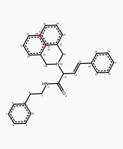 O=C(NCCc1ccccc1)C(/C=C/c1ccccc1)N(Cc1ccccc1)Cc1ccccc1